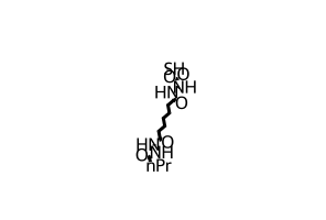 CCCC(=O)NNC(=O)CCCCCC(=O)NNC(=O)OS